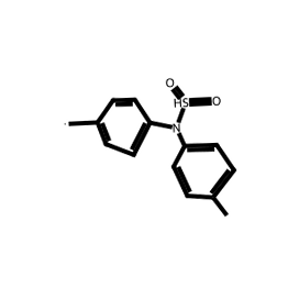 [CH2]c1ccc(N(c2ccc(C)cc2)[SH](=O)=O)cc1